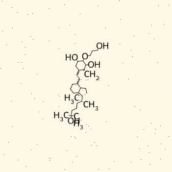 C=C1/C(=C\C=C2CCC[C@@]3(C)C2CC[C@@H]3[C@H](C)CCCC(C)(C)O)C[C@@H](O)C(OCCCO)[C@H]1O